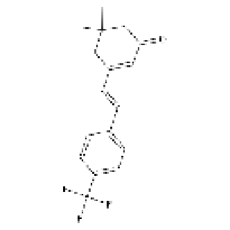 CC1(C)CC(=O)C=C(/C=C/c2ccc(C(F)(F)F)cc2)C1